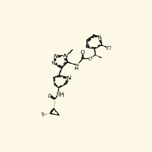 C[C@@H](OC(=O)Nc1c(-c2ccc(NC(=O)[C@@H]3C[C@@H]3F)cn2)nnn1C)c1cccnc1Cl